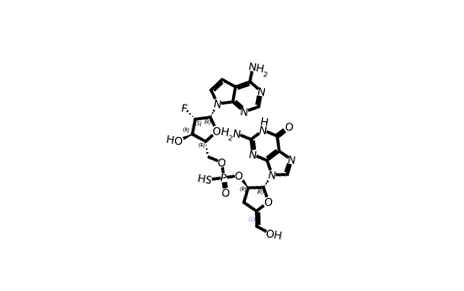 Nc1nc2c(ncn2[C@@H]2O/C(=C\O)C[C@H]2OP(=O)(S)OC[C@H]2O[C@@H](n3ccc4c(N)ncnc43)[C@@H](F)[C@@H]2O)c(=O)[nH]1